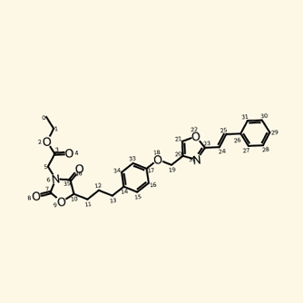 CCOC(=O)CN1C(=O)OC(CCCc2ccc(OCc3coc(/C=C/c4ccccc4)n3)cc2)C1=O